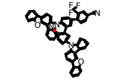 N#Cc1ccc(-c2ccc(-n3c4ccccc4c4c5oc6ccccc6c5ccc43)c(-c3cc(-n4c5ccccc5c5c6oc7ccccc7c6ccc54)ccc3C#N)c2)c(C(F)(F)F)c1